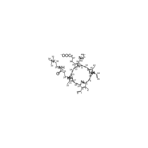 C=CC1=C(C)c2cc3[nH]c(cc4nc(cc5[nH]c(cc1n2)c(C)c5CCC(=O)NCC[N+](C)(C)C)C(CCC(=O)[O-])=C4C)c(C)c3C=C.[I-].[Na+]